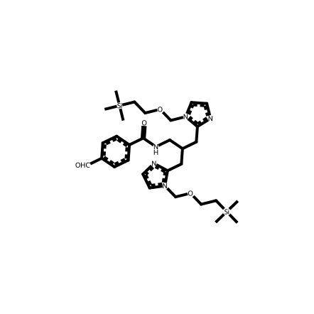 C[Si](C)(C)CCOCn1ccnc1CC(CNC(=O)c1ccc(C=O)cc1)Cc1nccn1COCC[Si](C)(C)C